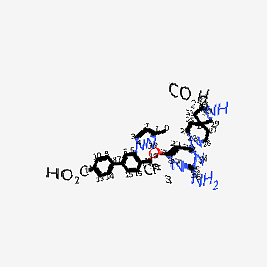 Cc1ccn(-c2cc(-c3ccc(C(=O)O)cc3)ccc2C(Oc2cc(N3CCC4(CC3)CN[C@H](C(=O)O)C4)nc(N)n2)C(F)(F)F)n1